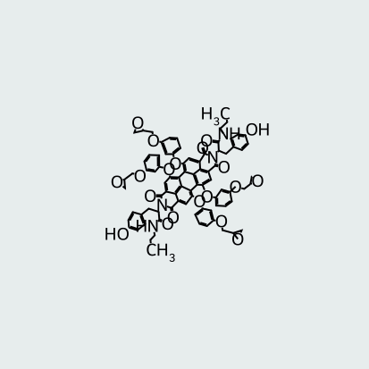 CCCNC(=O)C(Cc1ccc(O)cc1)N1C(=O)c2cc(Oc3cccc(OCC4CO4)c3)c3c4c(Oc5cccc(OCC6CO6)c5)cc5c6c(cc(Oc7cccc(OCC8CO8)c7)c(c7c(Oc8cccc(OCC9CO9)c8)cc(c2c37)C1=O)c64)C(=O)N(C(Cc1ccc(O)cc1)C(=O)NCCC)C5=O